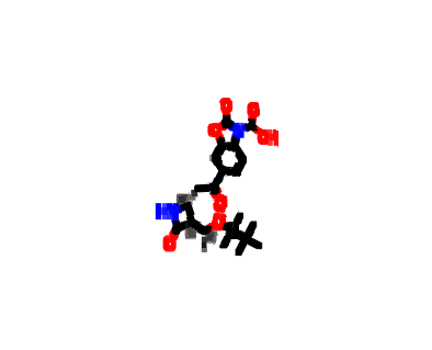 C[C@@H](O[Si](C)(C)C(C)(C)C)[C@H]1C(=O)N[C@@H]1CC(=O)c1ccc2c(c1)oc(=O)n2C(=O)O